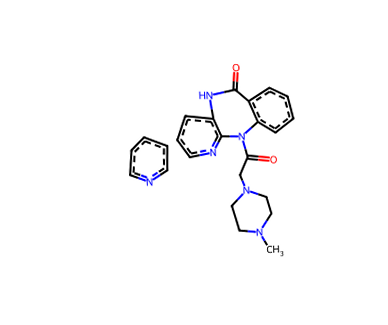 CN1CCN(CC(=O)N2c3ccccc3C(=O)Nc3cccnc32)CC1.c1ccncc1